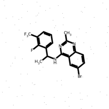 Cc1nc(NC(C)c2cccc(C(F)(F)F)c2F)c2cc(Br)ccc2n1